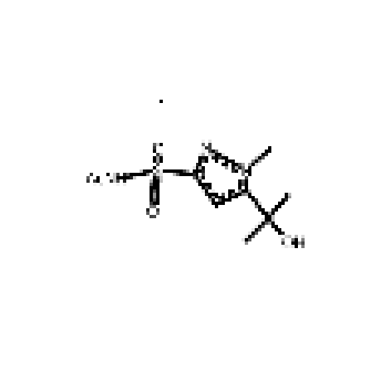 CC(=O)NS(=O)(=O)c1cc(C(C)(C)O)n(C)n1